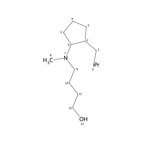 CC(C)CC1CCCC1N(C)CCCCO